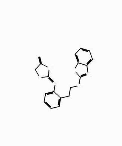 O=C1CN/C(=N\c2ccccc2CCNc2nc3ccccc3s2)S1